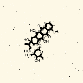 C=C(CO)[C@]1(O)Cc2c(O)c3c(c(O)c2[C@@H](OC2CC(N)C(O)C(C)O2)C1)C(=O)c1c(OC)cccc1C3=O